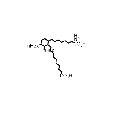 CCCCCCC1CCC(CCCCCCCC(=O)O)C(CCCCCCCCCC(=O)O)C1CCCCCC.N